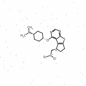 CC[S+]([O-])C[C@@H]1CCc2sc3ncnc(O[C@H]4CC[C@H](N(C)C)CC4)c3c21